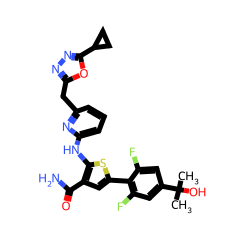 CC(C)(O)c1cc(F)c(-c2cc(C(N)=O)c(Nc3cccc(Cc4nnc(C5CC5)o4)n3)s2)c(F)c1